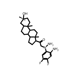 CC12CC[C@@](C)(O)CC1CCC1C2CCC2(C)C(C(=O)CN(N)c3cc(F)c(F)cc3N)CCC12